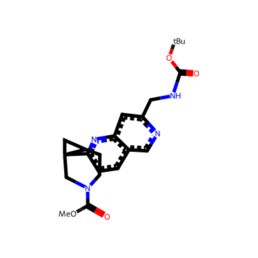 COC(=O)N1CCC2CC2(c2ccc3cnc(CNC(=O)OC(C)(C)C)cc3n2)C1